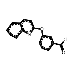 O=C(Cl)c1cccc(Oc2ccc3ccccc3n2)c1